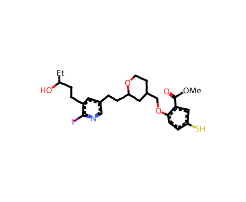 CCC(O)CCc1cc(CCC2CC(COc3ccc(S)cc3C(=O)OC)CCO2)cnc1I